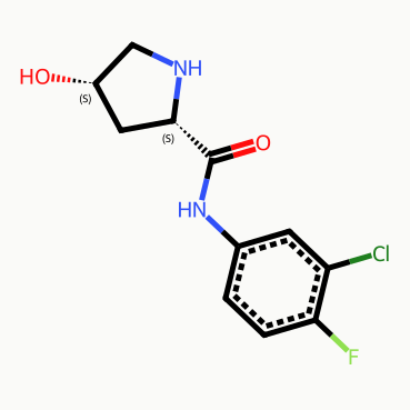 O=C(Nc1ccc(F)c(Cl)c1)[C@@H]1C[C@H](O)CN1